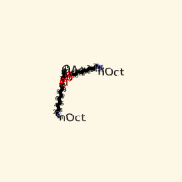 CCCCCCCC/C=C\CCCCCCCCOCC(COC(C)=O)OCCCCCCCC/C=C\CCCCCCCC